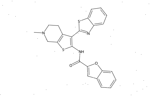 CN1CCc2c(sc(NC(=O)c3cc4ccccc4o3)c2-c2nc3ccccc3s2)C1